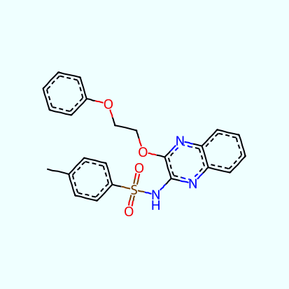 Cc1ccc(S(=O)(=O)Nc2nc3ccccc3nc2OCCOc2ccccc2)cc1